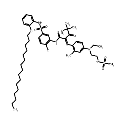 CCCCCCCCCCCCCCCCOc1ccccc1NS(=O)(=O)c1ccc(Cl)c(NC(=O)C(=Nc2ccc(N(CC)CCNS(C)(=O)=O)cc2C)C(=O)C(C)(C)C)c1